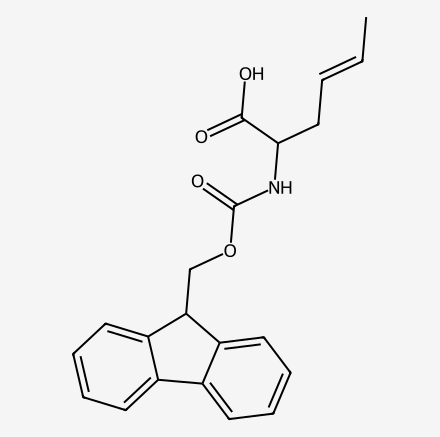 CC=CCC(NC(=O)OCC1c2ccccc2-c2ccccc21)C(=O)O